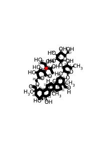 C[C@H]1O[C@@H](O[C@H]2CC[C@@]3(C)C(CC[C@]4(C)C3C=CC3=C5C[C@@](C)(C(=O)OC[C@H]6O[C@H](OCC(O)C(O)C(O)CO)[C@H](O)[C@@H](O)[C@@H]6O)CC[C@]5(CO)[C@H](O)C[C@]34C)[C@]2(C)CO)[C@H](O)[C@@H](O[C@@H]2O[C@H](CO)[C@@H](O)[C@H](O)[C@H]2O)[C@H]1O